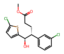 COC(=O)CC[C@H](c1cccc(Cl)c1)[C@@H](O)c1ccc(Cl)s1